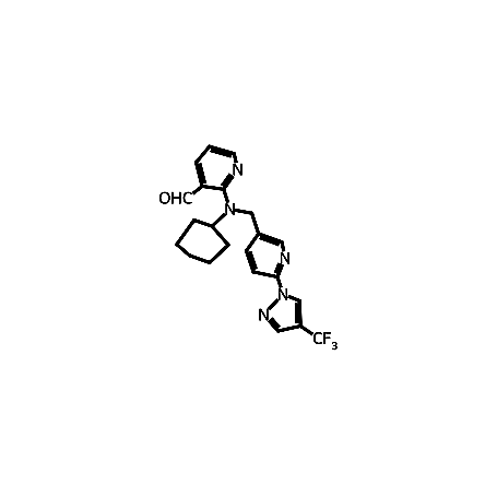 O=Cc1cccnc1N(Cc1ccc(-n2cc(C(F)(F)F)cn2)nc1)C1CCCCC1